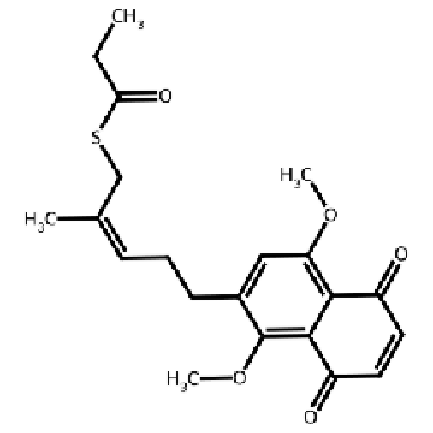 CCC(=O)SCC(C)=CCCc1cc(OC)c2c(c1OC)C(=O)C=CC2=O